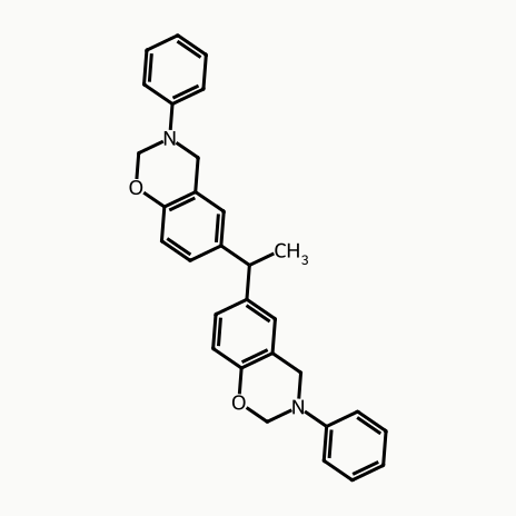 CC(c1ccc2c(c1)CN(c1ccccc1)CO2)c1ccc2c(c1)CN(c1ccccc1)CO2